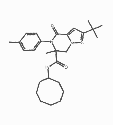 Cc1ccc(N2C(=O)c3cc(C(C)(C)C)nn3CC2(C)C(=O)NC2CCCCCCC2)cc1